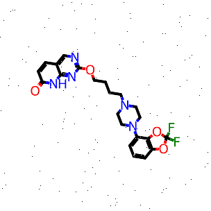 O=c1ccc2cnc(OCCCCN3CCN(c4cccc5c4OC(F)(F)O5)CC3)nc2[nH]1